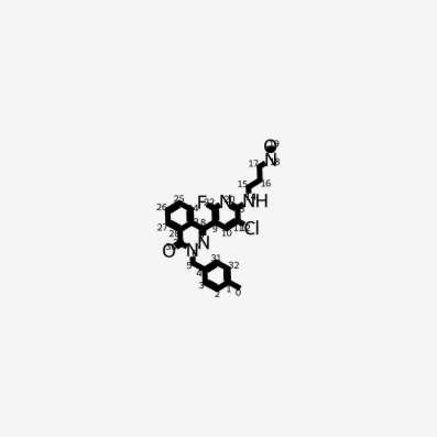 Cc1ccc(Cn2nc(-c3cc(Cl)c(NCCCN=O)nc3F)c3ccccc3c2=O)cc1